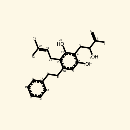 C=C(C)C(O)Cc1c(O)cc(CCc2ccccc2)c(CC=C(C)C)c1O